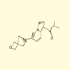 CC(C)C(=O)c1cnn2cc(N3CC4(COC4)C3)ccc12